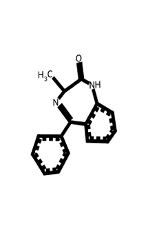 CC1N=C(c2ccccc2)c2ccccc2NC1=O